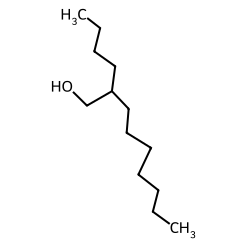 CCCCCCCC(CO)CCCC